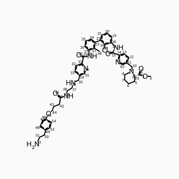 COC(=O)[C@@H]1CCCCN1Cc1ccc(C(=O)Nc2cccc(-c3cccc(NC(=O)c4ccc(CNCCNC(=O)CCCOc5ccc(CCN)cc5)cn4)c3C)c2Cl)nc1